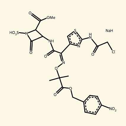 COC(=O)C1C(NC(=O)/C(=N\OC(C)(C)C(=O)OCc2ccc([N+](=O)[O-])cc2)c2csc(NC(=O)CCl)n2)C(=O)N1S(=O)(=O)O.[NaH]